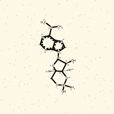 B[PH]1(O)OC[C@H]2O[C@@H](n3cnc4c(N(C)C)ncnc43)[C@@H](O)[C@H]2O1